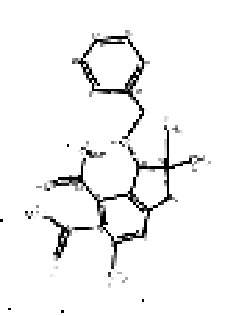 COC(=O)c1c(C)cc2c(c1C(=O)OC)C(OCc1ccccc1)C(C)(C)C2